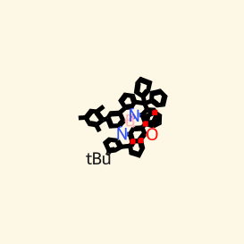 Cc1cc(C)c(-c2cc3c4c(c2)N(c2ccc(C(C)(C)C)cc2-c2ccccc2)c2ccc5oc6ccccc6c5c2B4N2c4ccccc4C(c4ccccc4)(c4ccccc4)c4cccc-3c42)c(C)c1